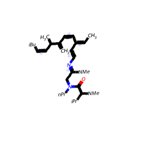 C=C(\C=C/C(/C=C/N=C(/CN(CCC)C(=O)C(NC)C(C)C)NC)=C\C)C(C)/C=C\C(C)CC